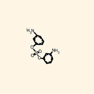 Nc1cccc(OS(=O)(=O)Oc2cccc(N)c2)c1